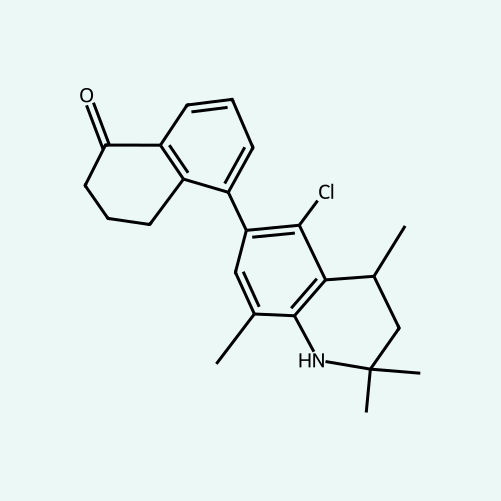 Cc1cc(-c2cccc3c2CCCC3=O)c(Cl)c2c1NC(C)(C)CC2C